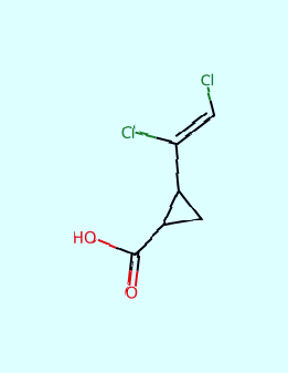 O=C(O)C1CC1C(Cl)=CCl